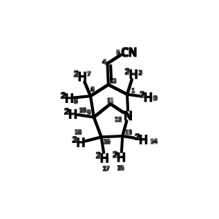 [2H]C1([2H])C(=CC#N)C([2H])([2H])C2([2H])CN1C([2H])([2H])C2([2H])[2H]